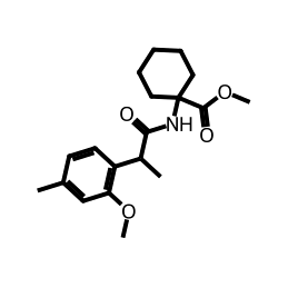 COC(=O)C1(NC(=O)C(C)c2ccc(C)cc2OC)CCCCC1